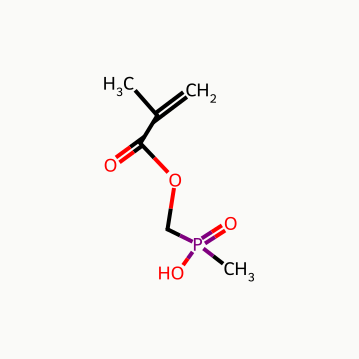 C=C(C)C(=O)OCP(C)(=O)O